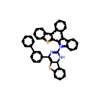 c1ccc(-c2cccc(C3=C4Sc5ccccc5C4NC(n4c5ccccc5c5c6ccccc6c6c7ccccc7sc6c54)=N3)c2)cc1